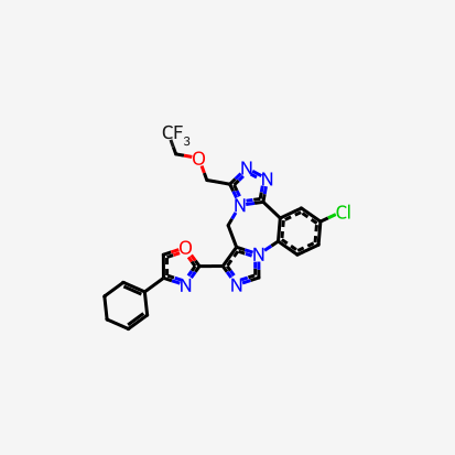 FC(F)(F)COCc1nnc2n1Cc1c(-c3nc(C4=CCCC=C4)co3)ncn1-c1ccc(Cl)cc1-2